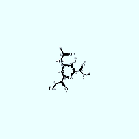 COC(=O)c1nc(C(=O)CBr)cc(NC(C)=O)c1Cl